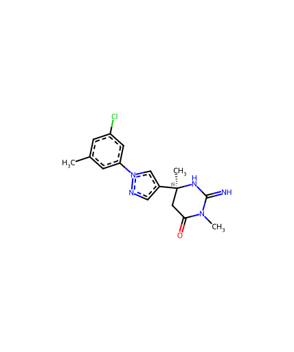 Cc1cc(Cl)cc(-n2cc([C@]3(C)CC(=O)N(C)C(=N)N3)cn2)c1